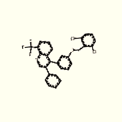 FC(F)(F)c1cccc2c(-c3cccc(OCc4c(Cl)cccc4Cl)c3)c(-c3ccccc3)cnc12